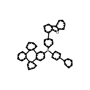 c1ccc(-c2ccc(N(c3ccc(-c4cccc5c4oc4ccccc45)cc3)c3ccc4c(c3)-c3ccccc3-c3ccccc3-c3ccccc3-4)cc2)cc1